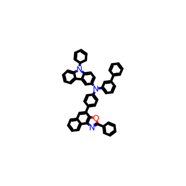 C1=CCC(n2c3ccccc3c3cc(N(c4ccc(-c5cc6ccccc6c6nc(-c7ccccc7)oc56)cc4)c4cccc(-c5ccccc5)c4)ccc32)C=C1